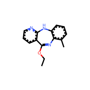 CCOC1=Nc2c(C)cccc2Nc2ncccc21